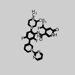 CC1CN(c2cc(F)c(C3=CCCN(c4ncccn4)C3)c(F)c2NC(=O)c2c[nH]c(=O)cc2C(F)F)CCN1C